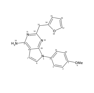 COc1ccc(-n2ccc3c(N)nc(Cc4ccco4)nc32)cc1